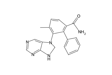 Cc1ccc(C(N)=O)c(-c2ccccc2)c1N1CNc2ncncc21